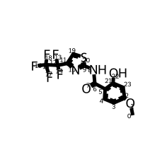 COc1ccc(C(=O)Nc2nc(C(F)(F)C(F)(F)F)cs2)c(O)c1